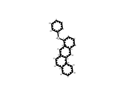 c1ccc(Oc2cccc3cc4c(ccc5ccccc54)cc23)cc1